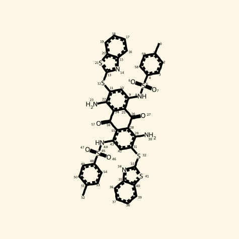 Cc1ccc(S(=O)(=O)Nc2cc(Sc3nc4ccccc4s3)c(N)c3c2C(=O)c2c(N)c(Sc4nc5ccccc5s4)cc(NS(=O)(=O)c4ccc(C)cc4)c2C3=O)cc1